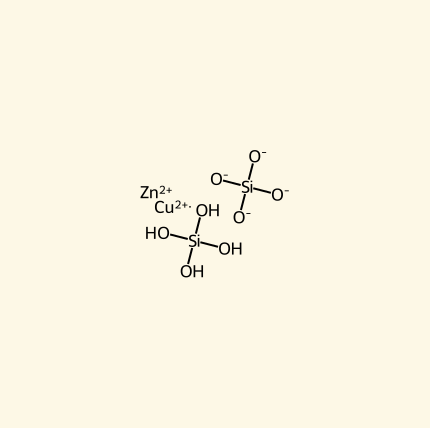 O[Si](O)(O)O.[Cu+2].[O-][Si]([O-])([O-])[O-].[Zn+2]